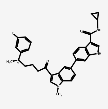 C[C@H](CCCC(=O)c1cn(C)c2ccc(-c3ccc4c(C(=O)NC5CC5)c[nH]c4c3)cc12)c1cccc(F)c1